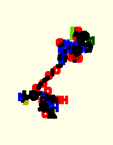 COc1nc(Nc2cc(S(C)(=O)=O)ccc2N[C@@H](c2cccc3c2OC(F)(F)O3)c2ncccc2Cl)nc(N2CCN(CCOCCOCCOCCOc3cc(-c4scnc4C)ccc3CNC(=O)[C@@H]3C[C@@H](O)CN3C(=O)[C@@H](NC(=O)C3(F)CC3)C(C)(C)C)CC2)n1